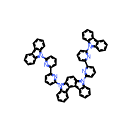 c1cc(-c2cccc(-n3c4ccccc4c4c5c6ccccc6n(-c6cccc(-c7cccc(-n8c9ccccc9c9ccccc98)n7)n6)c5ccc43)n2)nc(-n2c3ccccc3c3ccccc32)c1